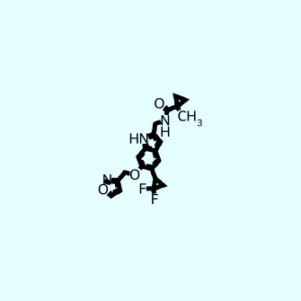 CC1(C(=O)NCc2cc3cc(C4CC4(F)F)c(OCc4ccon4)cc3[nH]2)CC1